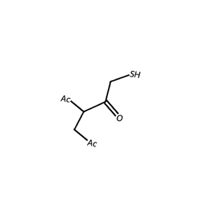 CC(=O)CC(C(C)=O)C(=O)CS